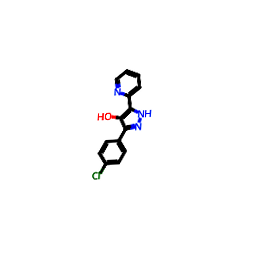 Oc1c(-c2ccc(Cl)cc2)n[nH]c1-c1ccccn1